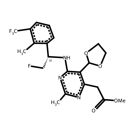 COC(=O)Cc1nc(C)nc(N[C@H](CF)c2cccc(C(F)(F)F)c2C)c1C1OCCO1